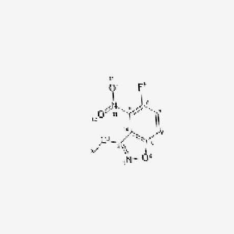 COc1noc2ccc(F)c([N+](=O)[O-])c12